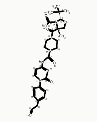 CC(C)(C)[C@@H]1OC[C@](C)(C(=O)N2CCN(C(=O)Nc3ccn(-c4ccc(CC=O)cc4)c(=O)n3)CC2)N1C(=O)O